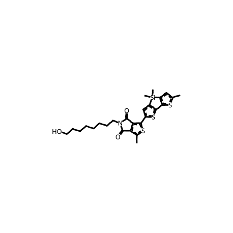 Cc1cc2c(s1)-c1sc(-c3sc(C)c4c3C(=O)N(CCCCCCCCO)C4=O)cc1[Si]2(C)C